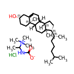 CC(C)CCC[C@@H](C)[C@H]1CC[C@H]2[C@@H]3CC=C4C[C@@H](O)CC[C@]4(C)[C@H]3CC[C@]12C.CC(NC(=O)[O-])[N+](C)(C)C.Cl